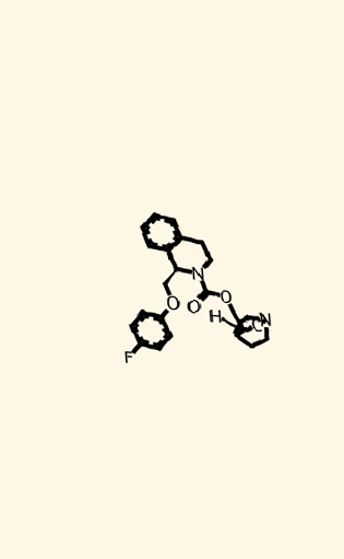 O=C(O[C@@H]1CN2CCC1CC2)N1CCc2ccccc2[C@@H]1COc1ccc(F)cc1